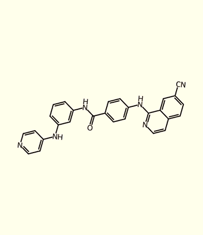 N#Cc1ccc2ccnc(Nc3ccc(C(=O)Nc4cccc(Nc5ccncc5)c4)cc3)c2c1